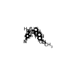 CCOC[C@@]1(O)CC[C@@H]2C3CC[C@]4(C)[C@@H]([C@@H](C)NC(=O)c5ccc(C#N)cc5F)CCC[C@H]4[C@@H]3CC[C@@H]2C1